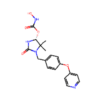 CC1(C)[C@@H](OC(=O)NO)NC(=O)N1Cc1ccc(Oc2ccncc2)cc1